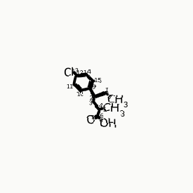 CC=C(CC(C)C(=O)O)c1ccc(Cl)cc1